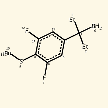 BC(CC)(CC)c1cc(F)c(SCCCC)c(F)c1